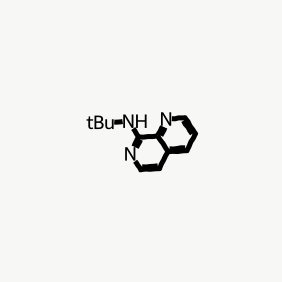 CC(C)(C)Nc1nccc2cccnc12